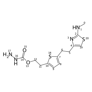 CNc1nc(CCc2ccc(CCOC(=O)NN)s2)cs1